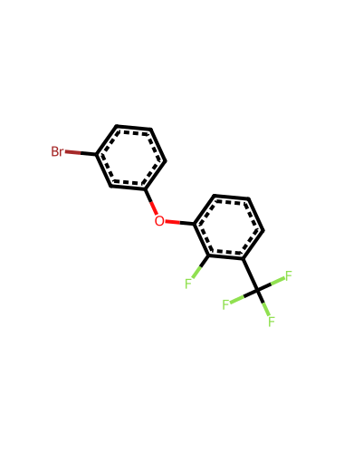 Fc1c(Oc2cccc(Br)c2)cccc1C(F)(F)F